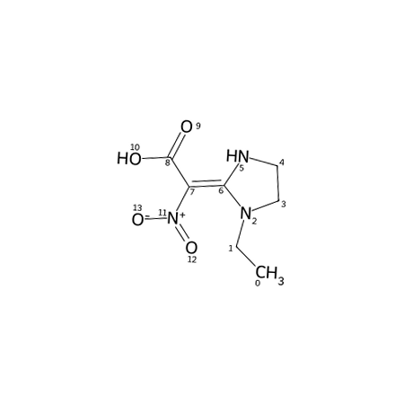 CCN1CCNC1=C(C(=O)O)[N+](=O)[O-]